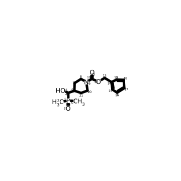 CP(C)(=O)C(O)C1CCN(C(=O)OCc2ccccc2)CC1